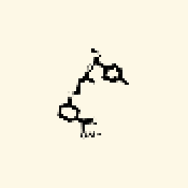 C/N=C(\O/C(C)=C/COC1CCCC(C(=O)OC)C1)c1ccc(C)cc1